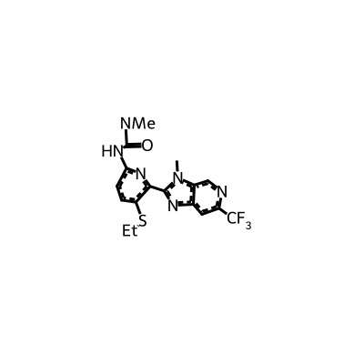 CCSc1ccc(NC(=O)NC)nc1-c1nc2cc(C(F)(F)F)ncc2n1C